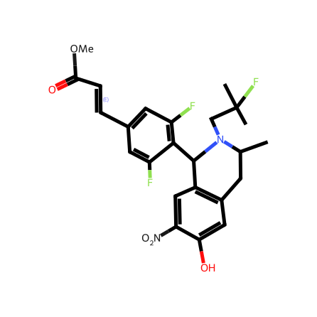 COC(=O)/C=C/c1cc(F)c(C2c3cc([N+](=O)[O-])c(O)cc3CC(C)N2CC(C)(C)F)c(F)c1